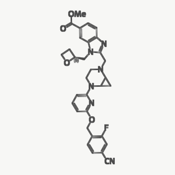 COC(=O)c1ccc2nc(CN3CCN(c4cccc(OCc5ccc(C#N)cc5F)n4)C4CC43)n(C[C@@H]3CCO3)c2c1